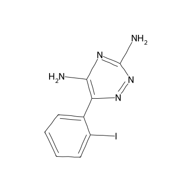 Nc1nnc(-c2ccccc2I)c(N)n1